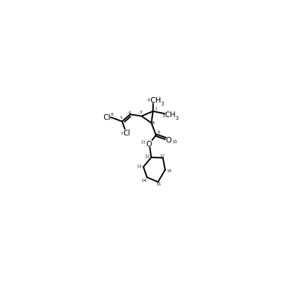 CC1(C)C(C=C(Cl)Cl)C1C(=O)OC1CCCCC1